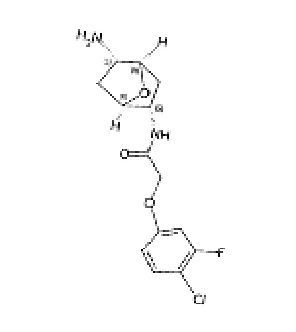 N[C@H]1C[C@H]2O[C@@H]1C[C@@H]2NC(=O)COc1ccc(Cl)c(F)c1